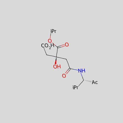 CC(=O)[C@@H](NC(=O)C[C@](O)(CC(=O)O)C(=O)OC(C)C)C(C)C